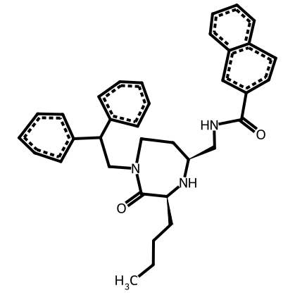 CCCC[C@@H]1N[C@H](CNC(=O)c2ccc3ccccc3c2)CCN(CC(c2ccccc2)c2ccccc2)C1=O